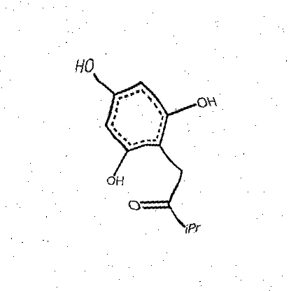 CC(C)C(=O)Cc1c(O)cc(O)cc1O